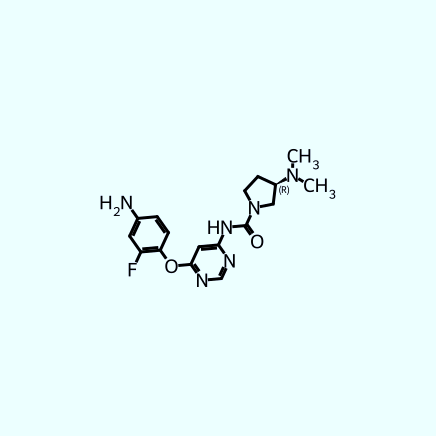 CN(C)[C@@H]1CCN(C(=O)Nc2cc(Oc3ccc(N)cc3F)ncn2)C1